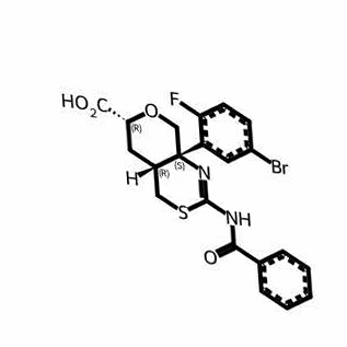 O=C(NC1=N[C@@]2(c3cc(Br)ccc3F)CO[C@@H](C(=O)O)C[C@H]2CS1)c1ccccc1